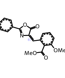 COC(=O)c1c(/C=C2/N=C(c3ccccc3)OC2=O)cccc1OC